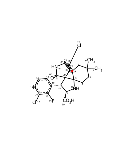 CC1(C)CCC2(CC1)N[C@@H](C(=O)O)[C@H](c1ccnc(Cl)c1F)[C@]21C(=O)Nc2cc(Cl)ncc21